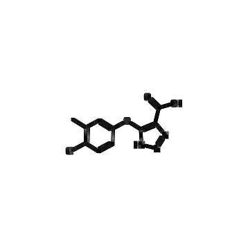 Cc1cc(Oc2[nH]nnc2C(=O)O)ccc1Cl